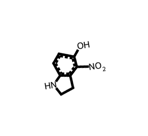 O=[N+]([O-])c1c(O)ccc2c1CCN2